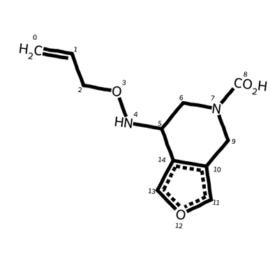 C=CCONC1CN(C(=O)O)Cc2cocc21